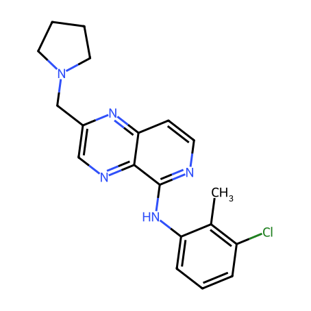 Cc1c(Cl)cccc1Nc1nccc2nc(CN3CCCC3)cnc12